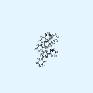 CC1(C)c2ccccc2C2(c3ccccc3Sc3ccc(-c4cccc(-c5nc(-c6ccccc6)nc(-c6ccccn6)n5)c4)cc32)c2ccccc21